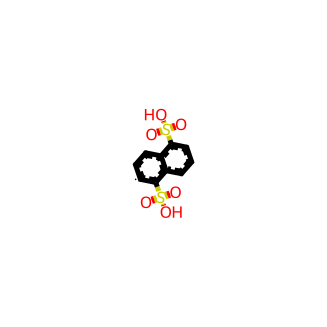 O=S(=O)(O)c1[c]ccc2c(S(=O)(=O)O)cccc12